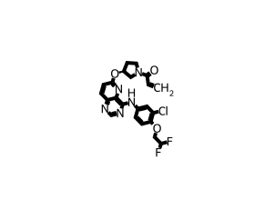 C=CC(=O)N1CC[C@H](Oc2ccc3ncnc(Nc4ccc(OCC(F)F)c(Cl)c4)c3n2)C1